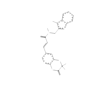 Cc1c(CN(C)C(=O)C=Cc2cnc3c(c2)OC(C)(C)C(=O)N3)[nH]c2ccccc12